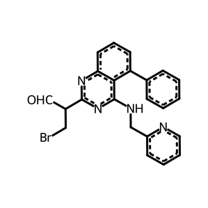 O=CC(CBr)c1nc(NCc2ccccn2)c2c(-c3ccccc3)cccc2n1